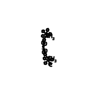 C[Si]1(C#Cc2ccc(OC(=O)CCSCCC(=O)Oc3ccc(C#C[Si]4(C)C(c5ccccc5)=C(c5ccccc5)C(c5ccccc5)=C4c4ccccc4)cc3)cc2)C(c2ccccc2)=C(c2ccccc2)C(c2ccccc2)=C1c1ccccc1